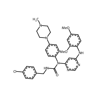 COc1ccc(Nc2cc(N(C(=O)NCc3ccc(Cl)cc3)c3ccc(N4CCN(C)CC4)cc3)ncn2)c(OC)c1